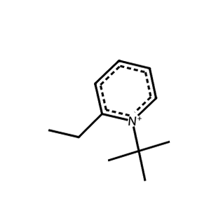 CCc1cccc[n+]1C(C)(C)C